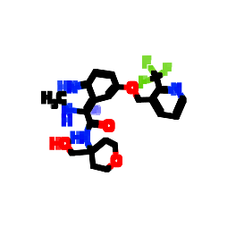 CN/C(C(=O)NC1(CO)CCOCC1)=C1/C=C(OCc2cccnc2C(F)(F)F)C=CC1=N